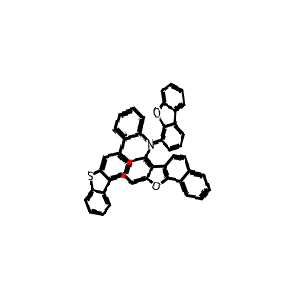 c1ccc(N(c2cccc3c2oc2ccccc23)c2cccc3oc4c5ccccc5ccc4c23)c(-c2ccc3c(c2)sc2ccccc23)c1